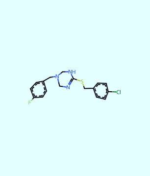 Fc1ccc(CN2CN=C(SCc3ccc(Cl)cc3)NC2)cc1